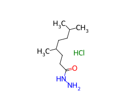 CC(C)CCC(C)CCC(=O)NN.Cl